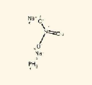 O=[Si]([O-])[O-].P.[Na+].[Na+]